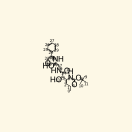 CCCC(NC(=O)OC(C)(C)C)C(O)C(=O)NC[C@@H](O)N[C@H](C=O)c1ccccc1